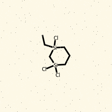 CC[Si]1(Cl)CCC[Si](Cl)(Cl)C1